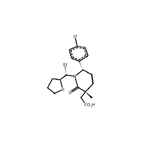 CC[C@@H](C1CCCO1)N1C(=O)[C@@](C)(CC(=O)O)CC[C@H]1c1ccc(Cl)cc1